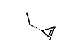 CC[C@H]1B=C1